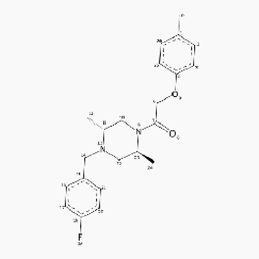 Cc1ccc(OCC(=O)N2C[C@@H](C)N(Cc3ccc(F)cc3)C[C@@H]2C)cc1